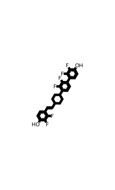 Oc1ccc(/C=C/C2CCC(c3ccc(-c4ccc(O)c(F)c4F)c(F)c3F)CC2)c(F)c1F